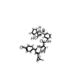 O=C(Nc1cccc(S(=O)(=O)NC2(CO)CCCC2)c1)c1cnn2c(C3CC3)cc(-c3ccc(Cl)cc3)nc12